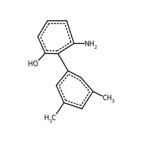 Cc1cc(C)cc(-c2c(N)cccc2O)c1